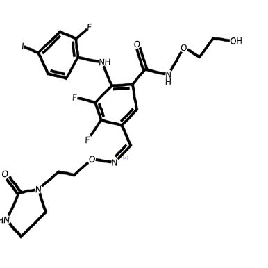 O=C(NOCCO)c1cc(/C=N\OCCN2CCNC2=O)c(F)c(F)c1Nc1ccc(I)cc1F